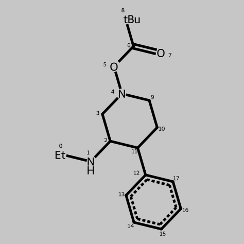 CCNC1CN(OC(=O)C(C)(C)C)CCC1c1ccccc1